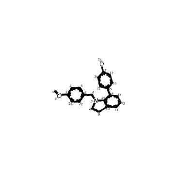 COc1ccc(CN2CCc3cccc(-c4ccc(Cl)cc4)c32)cc1